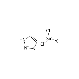 [Cl][Sm]([Cl])[Cl].c1c[nH]nn1